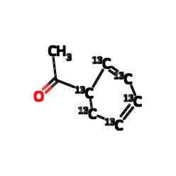 CC(=O)[13CH]1[13CH]=[13CH][13CH]=[13CH][13CH2]1